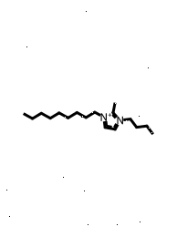 CCCCCCCCC[n+]1ccn(CCCC)c1C